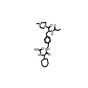 CCC(=O)NC(Cc1ccc(CNC(=O)C(NC(=O)O)C2CCCCCC2)cc1)C(=O)N1CCN(C)CC1